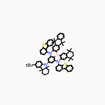 CC(C)(C)c1ccc2c(c1)C1(C)CCCCC1(C)N2c1cc2c3c(c1)N(c1cccc4sc5ccccc5c14)c1cc4c(cc1B3c1cc3c(cc1N2c1cccc2c1sc1ccccc12)C(C)(C)CCC3(C)C)C(C)(C)c1ccccc1C4(C)C